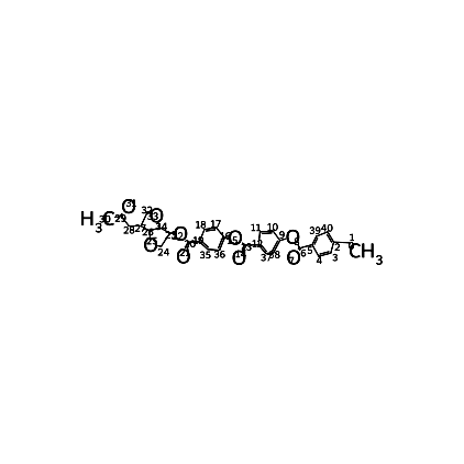 CCc1ccc(C(=O)Oc2ccc(C(=O)Oc3ccc(C(=O)OC4COC5C(CC(C)=O)COC45)cc3)cc2)cc1